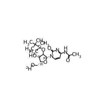 [2H]OC[C@H]1O[C@@H](n2ccc(NC(C)=O)nc2=O)C(O[Si](C)(C)C(C)(C)C)[C@H]1O